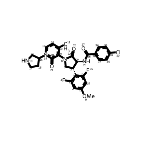 COc1cc(F)c([C@@H]2CN(c3c(C)ccn(C4CCNC4)c3=O)C(=O)[C@H]2NC(=O)c2ccc(Cl)cc2)c(F)c1